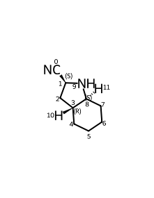 N#C[C@@H]1C[C@H]2CCCC[C@@H]2N1